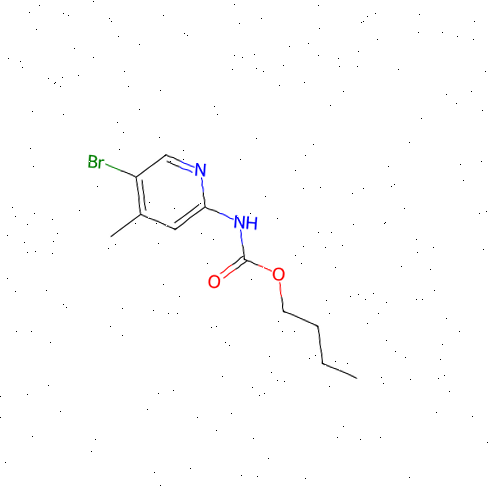 CCCCOC(=O)Nc1cc(C)c(Br)cn1